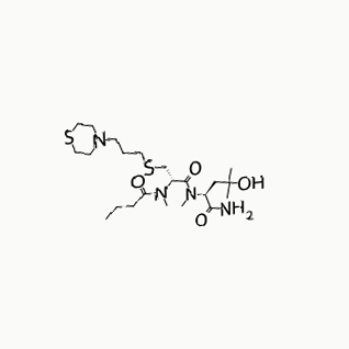 CCCC(=O)N(C)[C@H](CSCCCN1CCSCC1)C(=O)N(C)[C@@H](CC(C)(C)O)C(N)=O